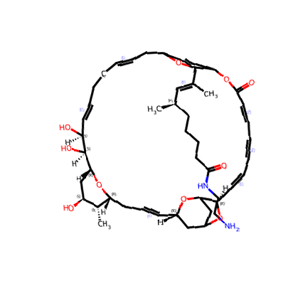 C/C(=C\[C@H](C)CCCCC(=O)NCCN)C1OC2C=CC1OC(=O)\C=C/C=C\C=C\[C@H]1OC3CC1O[C@@H](/C=C/C[C@H]1O[C@H](C[C@H](O)[C@H]1C)[C@@H](O)[C@@H](O)/C=C/CC/C=C/C2)C3